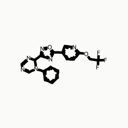 FC(F)(F)COc1ccc(-c2nc(C3N=CN=CN3c3ccccc3)no2)cn1